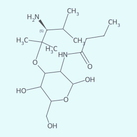 CCCC(=O)NC1C(O)OC(CO)C(O)C1OC(C)(C)[C@@H](N)C(C)C